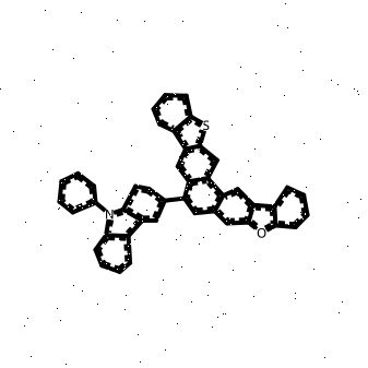 c1ccc(-n2c3ccccc3c3cc(-c4cc5cc6oc7ccccc7c6cc5c5cc6sc7ccccc7c6cc45)ccc32)cc1